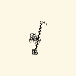 CCCCCCCCCCCCCCCCCCS(=O)(=O)[O-].CC[N+](CC)(CC)CC